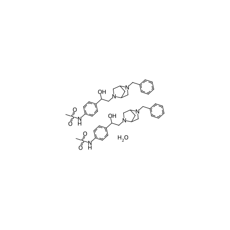 CS(=O)(=O)Nc1ccc(C(O)CN2CC3CC2CN3Cc2ccccc2)cc1.CS(=O)(=O)Nc1ccc(C(O)CN2CC3CC2CN3Cc2ccccc2)cc1.O